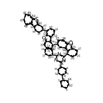 c1ccc(-c2ccc(-c3nc(-c4ccccc4)nc(-c4cccc5oc6ccc(-c7cccc8oc9c(-c%10ccc%11c(c%10)sc%10ccccc%10%11)cccc9c78)cc6c45)n3)cc2)cc1